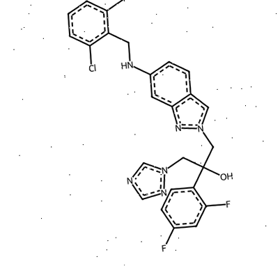 OC(Cn1cncn1)(Cn1cc2ccc(NCc3c(F)cccc3Cl)cc2n1)c1ccc(F)cc1F